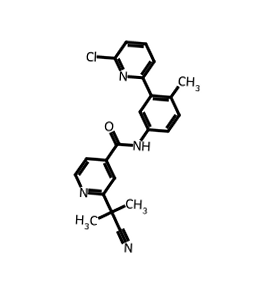 Cc1ccc(NC(=O)c2ccnc(C(C)(C)C#N)c2)cc1-c1cccc(Cl)n1